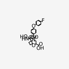 O=C(O)C(=O)CN(C1(C(=O)NO)CCC1)S(=O)(=O)c1ccc(Oc2ccc(F)cc2)cc1